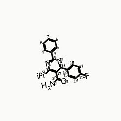 CC(C)c1nc(-c2ccccc2)nc(-c2ccc(F)cc2)c1C(N)=O